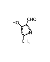 Cc1cc(O)c([C]=O)cn1